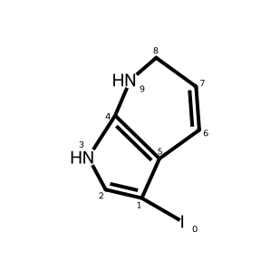 Ic1c[nH]c2c1C=CCN2